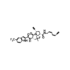 C#C/C=C\C=C/CNC(=O)[C@H]1C[C@@H](C#C)N(C(=O)[C@H](CC(C)(C)F)NC(=O)c2cc3cc(C(F)(F)F)ccc3[nH]2)C1